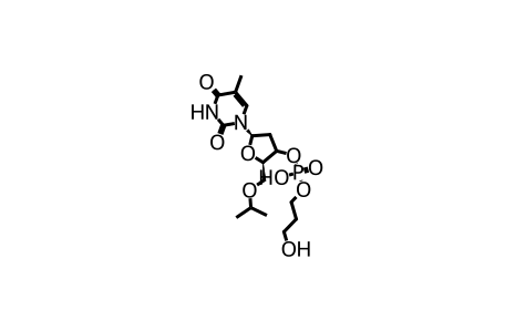 Cc1cn([C@H]2CC(OP(=O)(O)OCCCO)[C@@H](COC(C)C)O2)c(=O)[nH]c1=O